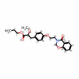 CCCOC(=O)C(Cc1ccc(OCCN2COc3ccccc3C2=O)cc1)OC